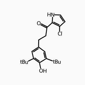 CC(C)(C)c1cc(CCC(=O)c2[nH]ccc2Cl)cc(C(C)(C)C)c1O